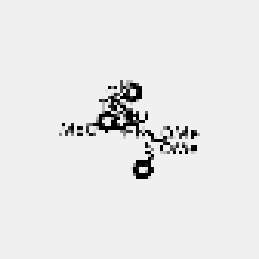 COc1cc(N(C)S(=O)(=O)c2ccccn2)c2[nH]c(C(=O)NCC(SCc3ccccc3)C(OC)OC)cc2c1